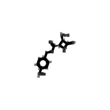 CCCCC[C@H]1C(=O)N[C@@H]1C(=O)OCc1ccc(OC)cc1